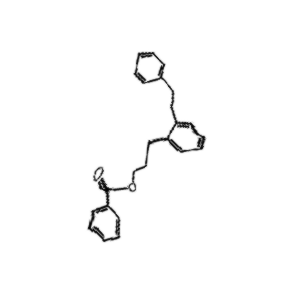 O=C(OCCCc1ccccc1CCc1ccccc1)c1ccccc1